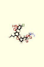 CCCc1cc(C(=O)c2ccc(Cl)cc2O)ccc1Oc1cccc(C[C@](C)(C=O)OC(N)=O)c1